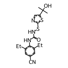 CCc1cc(C#N)cc(CC)c1NC(=O)NSc1ncc(C(C)(C)O)s1